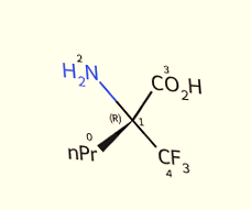 CCC[C@@](N)(C(=O)O)C(F)(F)F